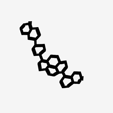 c1cnc2ccc(-c3ccc(-c4ccc5ccc6c(-c7cccc8cnccc78)ccc7ccc4c5c76)cc3)cc2c1